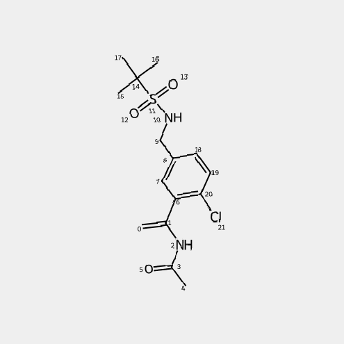 C=C(NC(C)=O)c1cc(CNS(=O)(=O)C(C)(C)C)ccc1Cl